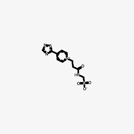 O=C(CC[n+]1ccc(-c2ncns2)cc1)NCS(=O)(=O)[O-]